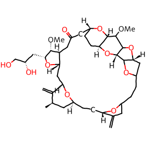 C=C1CC2CCC3C[C@H]4OC5C(OC)[C@H]6O[C@H](CC[C@@H]6O[C@H]5C4O3)CC(=O)C[C@@H]3[C@@H](OC)[C@@H](C[C@H](O)CO)O[C@H]3C[C@H]3O[C@@H](CC[C@@H]1O2)C[C@@H](C)C3=C